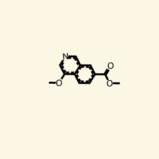 COC(=O)c1ccc2c(OC)cncc2c1